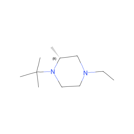 CCN1CCN(C(C)(C)C)[C@H](C)C1